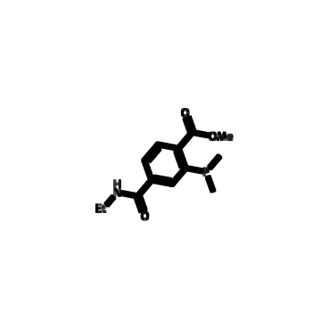 CCNC(=O)c1ccc(C(=O)OC)c(P(C)C)c1